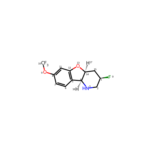 F[C@H]1CN[C@H]2c3ccc(OC(F)(F)F)cc3O[C@H]2C1